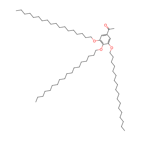 CCCCCCCCCCCCCCCCCCOc1cc(C(C)=O)cc(OCCCCCCCCCCCCCCCCCC)c1OCCCCCCCCCCCCCCCCCC